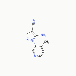 Cc1ccncc1-n1ncc(C#N)c1N